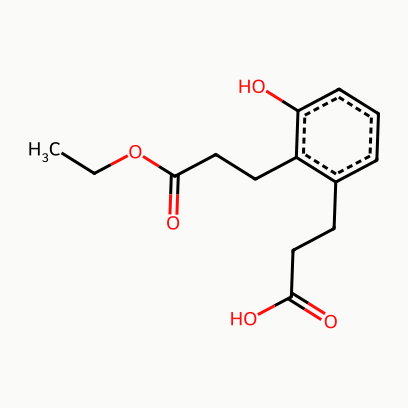 CCOC(=O)CCc1c(O)cccc1CCC(=O)O